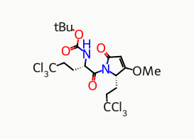 COC1=CC(=O)N(C(=O)[C@H](CCC(Cl)(Cl)Cl)NC(=O)OC(C)(C)C)[C@H]1CCC(Cl)(Cl)Cl